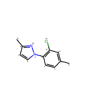 Cc1ccc(-n2ccc(C)n2)c(Cl)c1